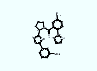 COc1cccc(-c2nnc(C3CCCN3C(=O)c3cc(C)ccc3-n3nccn3)[nH]2)c1